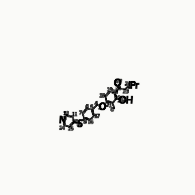 Cc1c(OCc2ccc(Sc3ccncc3)cc2)ccc(C(=O)CC(C)C)c1O